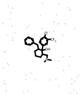 CN(C)CC1CCCC(Cc2ccccc2)C1(O)c1ccc(Cl)c(C(F)(F)F)c1